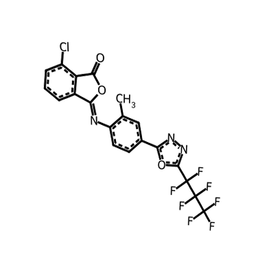 Cc1cc(-c2nnc(C(F)(F)C(F)(F)C(F)(F)F)o2)ccc1/N=C1\OC(=O)c2c(Cl)cccc21